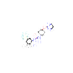 COc1ccc(S(F)(F)(F)(F)F)cc1NC(=O)NC1CCC(Oc2ncccn2)CC1